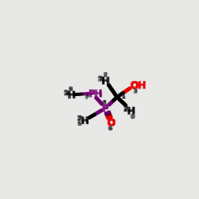 [2H]C([3H])(O)P([2H])(=O)P[3H]